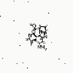 COC(=O)c1cccc2nc(CCN)c(-c3cncc(F)c3)n12